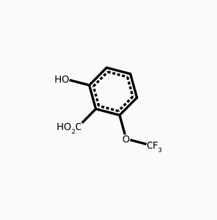 O=C(O)c1c(O)cccc1OC(F)(F)F